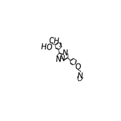 CC(O)c1cccc(-c2cnn3cc(-c4ccc(OCCN5CCCC5)cc4)cnc23)c1